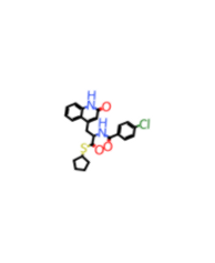 O=C(NC(Cc1cc(=O)[nH]c2ccccc12)C(=O)SC1CCCC1)c1ccc(Cl)cc1